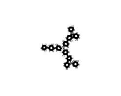 c1ccc(-c2ccc(-c3ccc(N(c4ccc(-c5ccc6c(c5)c5ccccc5n6-c5ccccc5)cc4)c4ccc(-c5ccc6c(c5)c5ccccc5n6-c5ccccc5)cc4)cc3)cc2)cc1